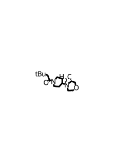 C[C@@H]1COCCN1C1CCN(C(=O)CC(C)(C)C)CC1